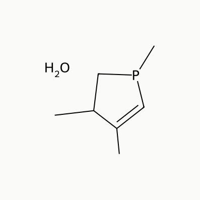 CC1=CP(C)CC1C.O